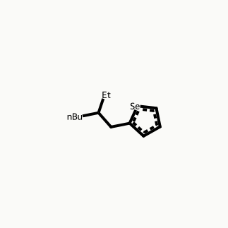 CCCCC(CC)Cc1ccc[se]1